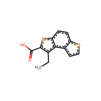 CCc1c(C(=O)O)sc2ccc3sccc3c12